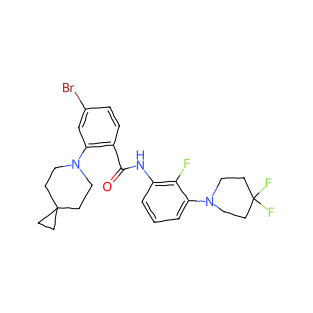 O=C(Nc1cccc(N2CCC(F)(F)CC2)c1F)c1ccc(Br)cc1N1CCC2(CC1)CC2